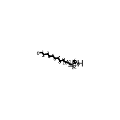 CCCCCCCCCCCCC[PH](C)(C)C